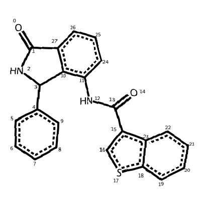 O=C1NC(c2ccccc2)c2c(NC(=O)c3csc4ccccc34)cccc21